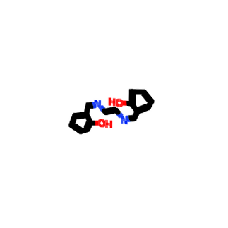 Oc1ccccc1\C=N/C=C/N=C\c1ccccc1O